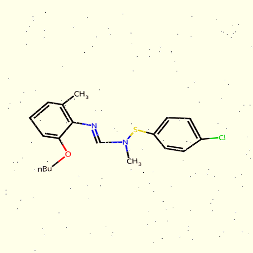 CCCCOc1cccc(C)c1N=CN(C)Sc1ccc(Cl)cc1